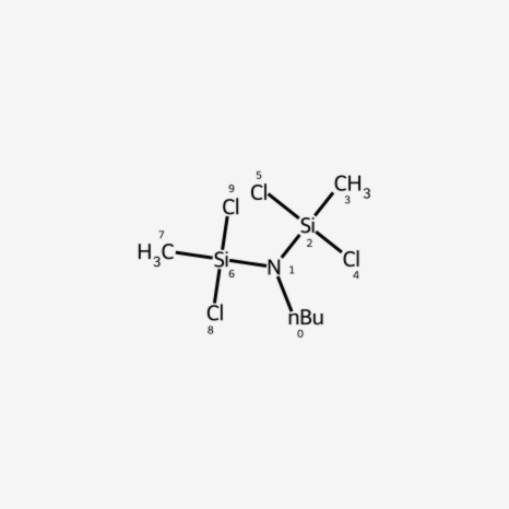 CCCCN([Si](C)(Cl)Cl)[Si](C)(Cl)Cl